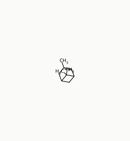 CC1=CC2CC(C1)C2(C)C